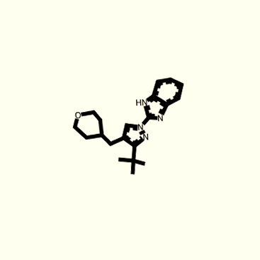 CC(C)(C)c1nn(-c2nc3ccccc3[nH]2)cc1CC1CCOCC1